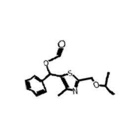 Cc1nc(COC(C)C)sc1C(OC=O)c1ccccc1